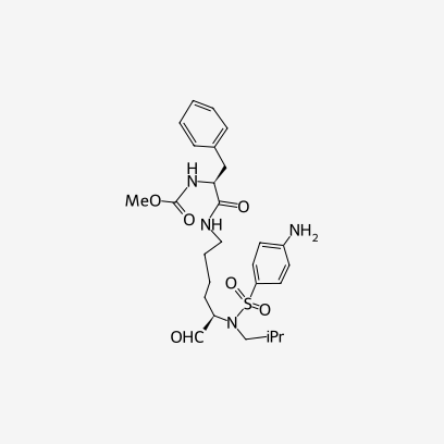 COC(=O)N[C@@H](Cc1ccccc1)C(=O)NCCCC[C@H](C=O)N(CC(C)C)S(=O)(=O)c1ccc(N)cc1